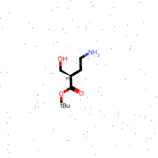 CC(C)(C)OC(=O)[C@@H](CO)CCN